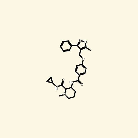 Cc1onc(-c2ccccc2)c1COc1ccc(C(=O)NC2CCCN(C)C2C(=O)NC2CC2)cn1